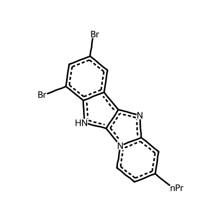 CCCc1ccn2c(c1)nc1c3cc(Br)cc(Br)c3[nH]c12